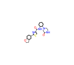 O=C1CN(c2ccccc2NC(=O)c2csc(-c3ccc4c(c3)CCO4)n2)CCN1